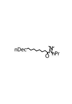 CCCCCCCCCCCCCCCCCC(=O)N(CCC)N(C)C